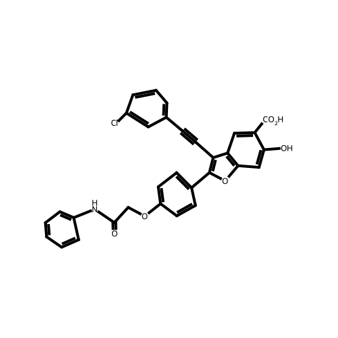 O=C(COc1ccc(-c2oc3cc(O)c(C(=O)O)cc3c2C#Cc2cccc(Cl)c2)cc1)Nc1ccccc1